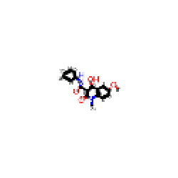 COc1ccc2c(c1)c(O)c(C(=O)Nc1ccccc1)c(=O)n2C